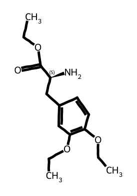 CCOC(=O)[C@@H](N)Cc1ccc(OCC)c(OCC)c1